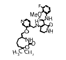 COc1c(F)cccc1NC(=S)C1=C(NCc2ccncc2OCC2CCCC(C)(C)OC(=O)N2)CCNC1=O